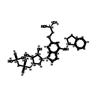 C[C@@H](O)COc1nc(N[C@@H]2CCc3ccccc32)c2cnn([C@@H]3O[C@H](CS(=O)(=O)CP(=O)(O)O)[C@@H](O)[C@H]3O)c2n1